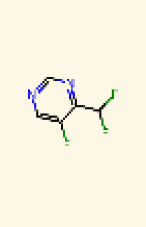 Fc1cncnc1C(F)F